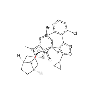 Cn1c(N2[C@@H]3CC[C@H]2C[C@@H](OC(=O)Cc2c(-c4c(Cl)cccc4Cl)noc2C2CC2)C3)nc2c(F)cc(Br)cc21